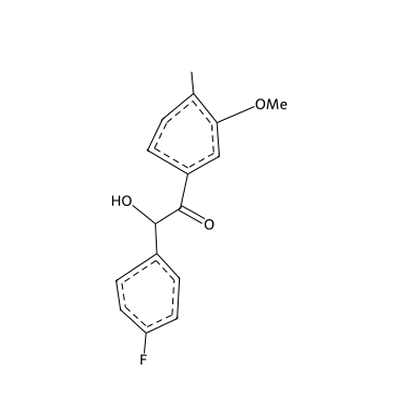 COc1cc(C(=O)C(O)c2ccc(F)cc2)ccc1C